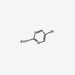 CCCC(C)c1ncc(C(C)C)cn1